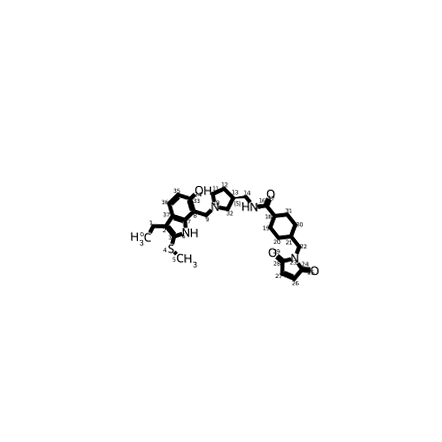 CCc1c(SC)[nH]c2c(CN3CC[C@@H](CNC(=O)C4CCC(CN5C(=O)C=CC5=O)CC4)C3)c(O)ccc12